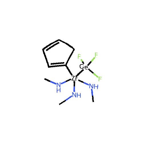 C[NH][Zr]([NH]C)([NH]C)([C]1=CC=CC1)[Ge]([F])([F])[F]